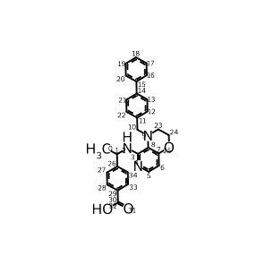 CC(Nc1nccc2c1N(Cc1ccc(-c3ccccc3)cc1)CCO2)c1ccc(C(=O)O)cc1